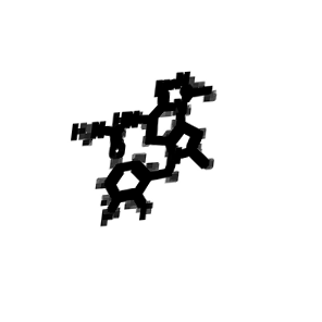 Cc1cc2c(cc(NC(N)=O)c3nnc(C)n32)n1Cc1cccc(F)c1F